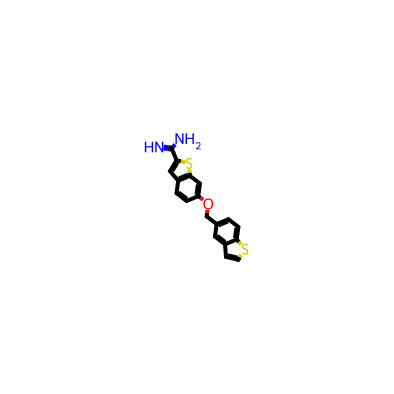 N=C(N)c1cc2ccc(OCc3ccc4sccc4c3)cc2s1